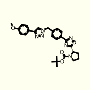 COc1ccc(-c2cn(Cc3ccc(-c4noc([C@@H]5CCCN5C(=O)OC(C)(C)C)n4)cc3)nn2)cc1